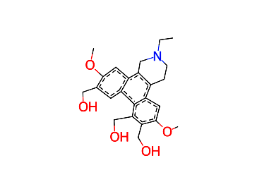 CCN1CCc2c(c3cc(OC)c(CO)cc3c3c(CO)c(CO)c(OC)cc23)C1